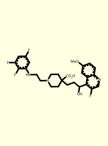 COc1ccc2ncc(F)c(C(O)CCC3(C(=O)O)CCN(CCNc4cc(F)cc(F)c4F)CC3)c2c1